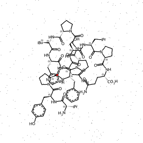 CC[C@H](C)[C@H](NC(=O)[C@@H]1CCCN1C(=O)CNC(=O)[C@@H]1CCCN1C(=O)[C@H](Cc1ccccc1)NC(=O)[C@@H]1CCCN1C(=O)[C@H](Cc1ccc(O)cc1)NC(=O)[C@@H](N)C(C)C)C(=O)N[C@@H](Cc1c[nH]cn1)C(=O)N[C@@H](CC(N)=O)C(=O)N[C@@H](CO)C(=O)N[C@@H](CC(C)C)C(=O)N1CCC[C@H]1C(=O)N[C@@H](CCC(N)=O)C(=O)O